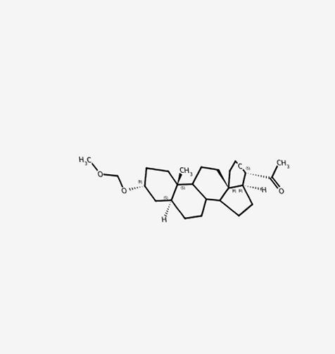 COCO[C@@H]1CC[C@]2(C)C3CC[C@@]45CCC[C@H](C(C)=O)[C@H]4CCC5C3CC[C@H]2C1